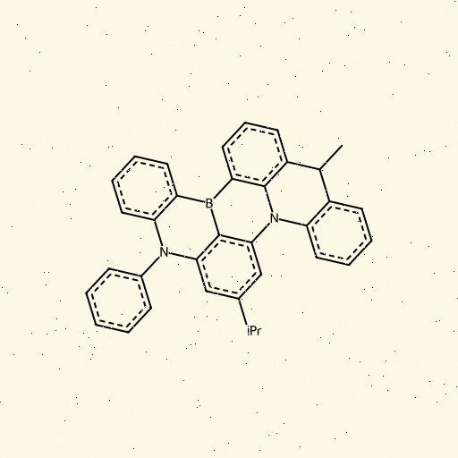 CC(C)c1cc2c3c(c1)N1c4ccccc4C(C)c4cccc(c41)B3c1ccccc1N2c1ccccc1